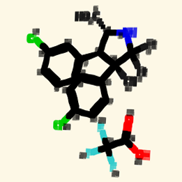 CCC1(CC)N[C@@H](C(=O)O)[C@H](c2cccc(Cl)c2)[C@@]1(C#N)c1ccc(Cl)cc1.O=C(O)C(F)(F)F